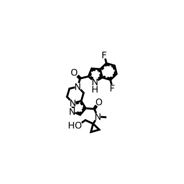 CN(C(=O)c1cnn2c1CN(C(=O)c1cc3c(F)ccc(F)c3[nH]1)CC2)C1(CO)CC1